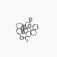 Cc1ccccc1-c1cccc(-c2ccccc2C)c1C1(P(=O)=O)C(C2CCCCC2)CC(=O)CC1C1CCCCC1